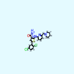 NC(=O)c1cc(-c2cc(Cl)ccc2Cl)sc1Nc1cccc(CN2CCCCC2)n1